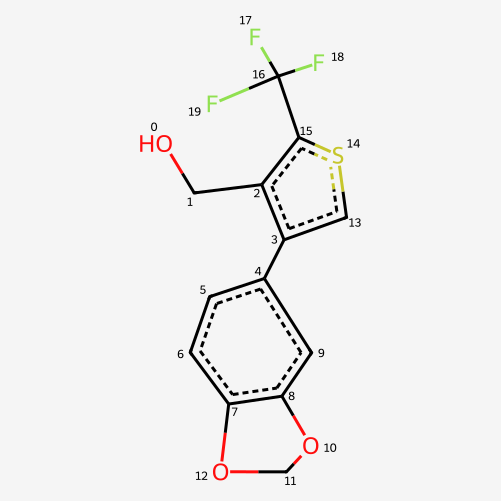 OCc1c(-c2ccc3c(c2)OCO3)csc1C(F)(F)F